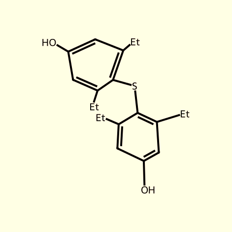 CCc1cc(O)cc(CC)c1Sc1c(CC)cc(O)cc1CC